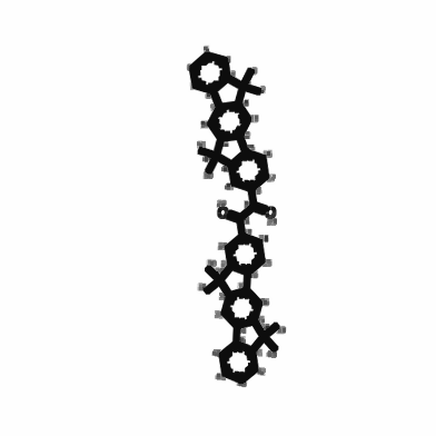 CC1(C)c2ccccc2-c2cc3c(cc21)-c1ccc(C(=O)C(=O)c2ccc4c(c2)C(C)(C)c2cc5c(cc2-4)C(C)(C)c2ccccc2-5)cc1C3(C)C